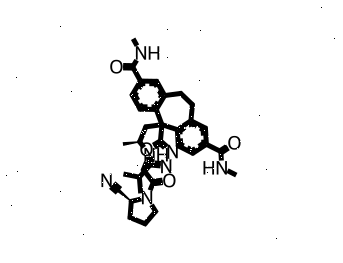 CNC(=O)c1ccc2c(c1)CCc1cc(C(=O)NC)ccc1C2(C[C@H](C)NCC(=O)N1CCC[C@H]1C#N)c1nnc(C(C)C)o1